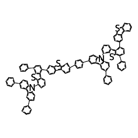 c1ccc(-c2ccc3c(c2)c2cc(-c4ccccc4)ccc2n3-c2cccc3c2sc2c(-c4ccccc4)ccc(-c4ccc5c(c4)sc4cc(-c6ccc(-c7ccc8c(c7)c7cc(-c9ccccc9)ccc7n8-c7cccc8c7sc7c(-c9ccccc9)ccc(-c9ccc%10sc%11ccccc%11c%10c9)c78)cc6)ccc45)c23)cc1